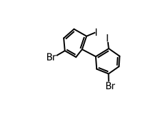 Brc1ccc(I)c(-c2cc(Br)ccc2I)c1